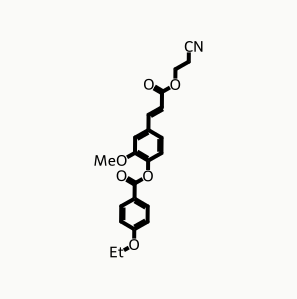 CCOc1ccc(C(=O)Oc2ccc(/C=C/C(=O)OCCC#N)cc2OC)cc1